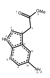 COC(=O)Cc1n[nH]c2ncc(N)cc12